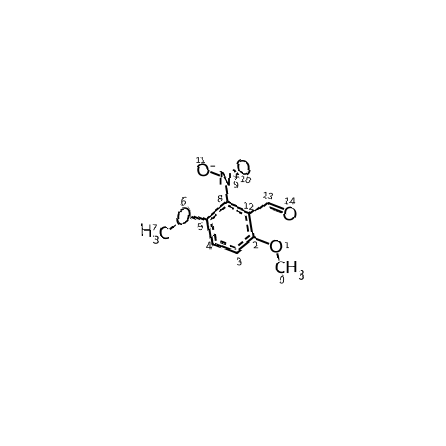 COc1ccc(OC)c([N+](=O)[O-])c1C=O